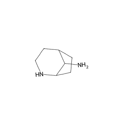 NC1C2CCNC1CC2